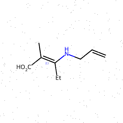 C=CCN/C(CC)=C(\C)C(=O)O